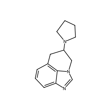 c1cc2c3c(c1)ncn3CC(N1CCCC1)C2